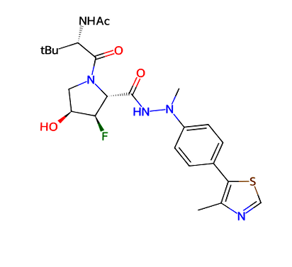 CC(=O)N[C@H](C(=O)N1C[C@H](O)[C@H](F)[C@H]1C(=O)NN(C)c1ccc(-c2scnc2C)cc1)C(C)(C)C